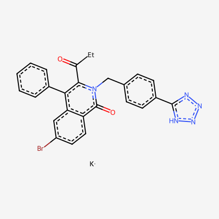 CCC(=O)c1c(-c2ccccc2)c2cc(Br)ccc2c(=O)n1Cc1ccc(-c2nnn[nH]2)cc1.[K]